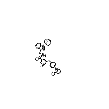 O=C(NCc1nn(C2CCCCO2)c2ccccc12)c1cncc(Cc2ccc(N3CCCC3=O)cc2)c1